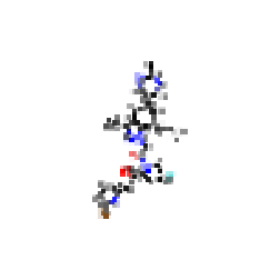 CC(=O)c1nn(CC(=O)N2C[C@H](F)C[C@H]2C(=O)Cc2cccc(Br)n2)c2c(C(=O)O)cc(-c3cnc(C)nc3)cc12